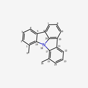 Cc1cccc2c3cccc4c5cccc(C)c5n(c12)c34